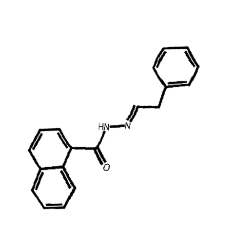 O=C(NN=CCc1ccccc1)c1cccc2ccccc12